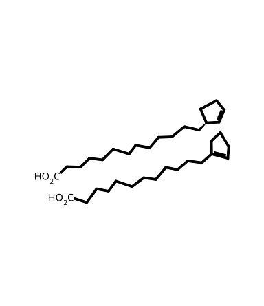 O=C(O)CCCCCCCCCCCC1=CCCC1.O=C(O)CCCCCCCCCCCC[C@@H]1C=CCC1